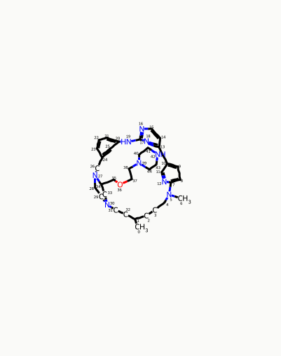 CC1CCCN(C)c2ccc(cn2)-c2ccnc(n2)Nc2cccc(c2)CN2CCN(CC1)CC2COCCN1CCNCC1